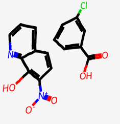 O=C(O)c1cccc(Cl)c1.O=[N+]([O-])c1ccc2cccnc2c1O